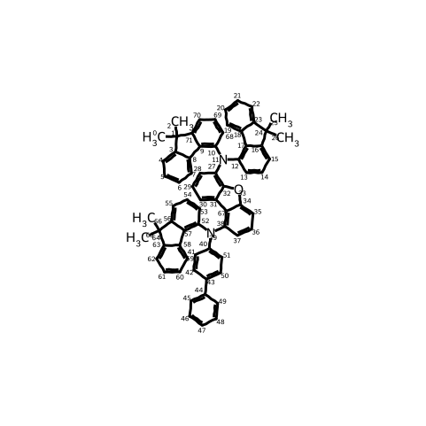 CC1(C)c2ccccc2-c2c(N(c3cccc4c3-c3ccccc3C4(C)C)c3cccc4c3oc3cccc(N(c5ccc(-c6ccccc6)cc5)c5cccc6c5-c5ccccc5C6(C)C)c34)cccc21